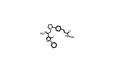 Cc1c(C(CN2CCCC2c2ccc(C=CC(=O)NO)cc2)=NO)cnn1-c1ccccc1